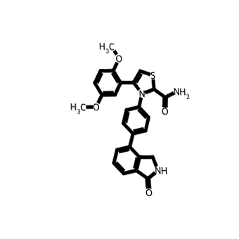 COc1ccc(OC)c(C2=CSC(C(N)=O)N2c2ccc(-c3cccc4c3CNC4=O)cc2)c1